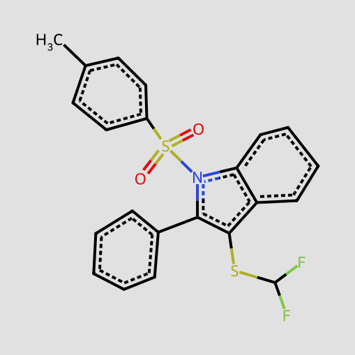 Cc1ccc(S(=O)(=O)n2c(-c3ccccc3)c(SC(F)F)c3ccccc32)cc1